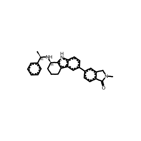 C[C@@H](N[C@@H]1CCCc2c1[nH]c1ccc(-c3ccc4c(c3)CN(C)C4=O)cc21)c1ccccc1